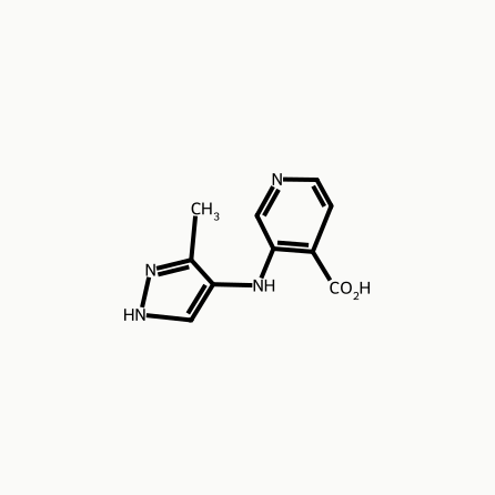 Cc1n[nH]cc1Nc1cnccc1C(=O)O